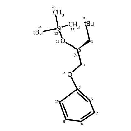 CC(C)(C)[CH][C@@H](COc1ccccc1)O[Si](C)(C)C(C)(C)C